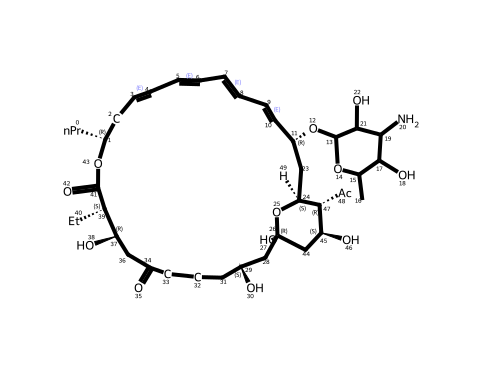 CCC[C@@H]1C/C=C/C=C/C=C/C=C/[C@H](OC2OC(C)C(O)C(N)C2O)C[C@@H]2O[C@](O)(C[C@@H](O)CCCC(=O)C[C@@H](O)[C@H](CC)C(=O)O1)C[C@H](O)[C@H]2C(C)=O